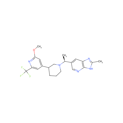 COc1cc(C2CCCN([C@@H](C)c3cnc4[nH]c(C)nc4c3)C2)cc(C(F)(F)F)n1